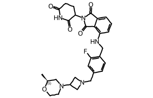 C[C@H]1CN(C2CN(Cc3ccc(CNc4cccc5c4C(=O)N(C4CCC(=O)NC4=O)C5=O)c(F)c3)C2)CCO1